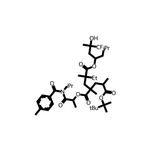 CCC(C)(CC(C)(CC(C)C(=O)OC(C)(C)C(C)(C)C)C(=O)OC(C)C(=O)N(C(=O)c1ccc(C)cc1)C(C)C)C(=O)OC(CC(C)C)CC(C)(O)C(F)(F)F